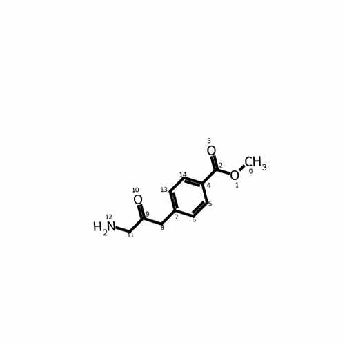 COC(=O)c1ccc(CC(=O)CN)cc1